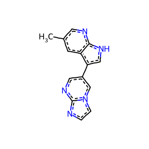 Cc1cnc2[nH]cc(-c3cnc4nccn4c3)c2c1